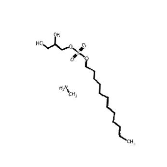 CCCCCCCCCCCCOS(=O)(=O)OCC(O)CO.CN